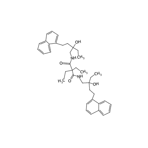 CCC(O)(CCc1cccc2ccccc12)CNC(=O)C(CC)(CC)C(=O)NCC(O)(CC)CCc1cccc2ccccc12